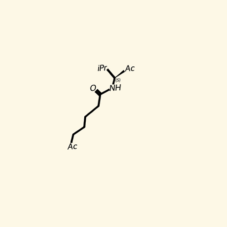 CC(=O)CCCCC(=O)N[C@H](C(C)=O)C(C)C